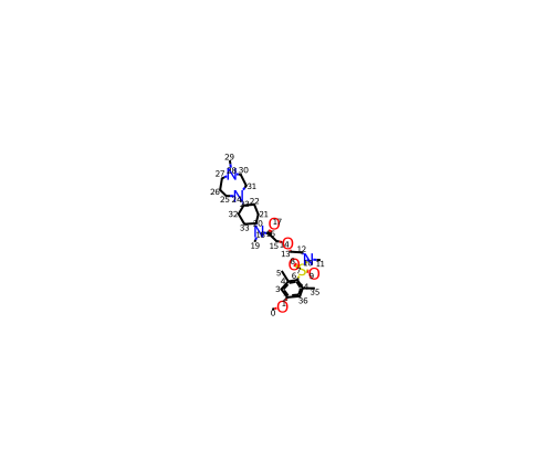 COc1cc(C)c(S(=O)(=O)N(C)CCOCC(=O)N(C)[C@H]2CC[C@@H](N3CCCN(C)CC3)CC2)c(C)c1